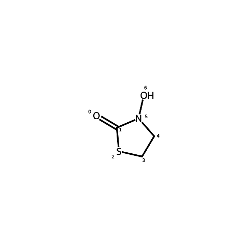 O=C1SCCN1O